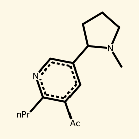 CCCc1ncc(C2CCCN2C)cc1C(C)=O